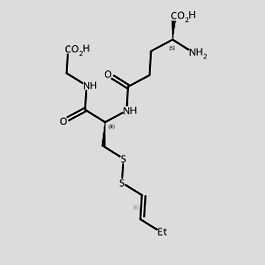 CC/C=C/SSC[C@H](NC(=O)CC[C@H](N)C(=O)O)C(=O)NCC(=O)O